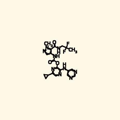 Cn1ncc(NC(=O)Oc2nc(C3CC3)cnc2Nc2cncnc2)c1C(=O)NCC(C)(F)F